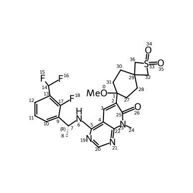 COC1(c2cc3c(N[C@H](C)c4cccc(C(F)F)c4F)ncnc3n(C)c2=O)CCC2(CC1)CS(=O)(=O)C2